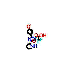 COc1ccc(-c2noc([C@H]3CCCCN3)n2)cc1.O=C(O)C(F)(F)F